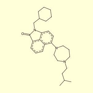 CC(C)CCN1CCCN(c2ccc3c4c(cccc24)C(=O)N3CC2CCCCC2)CC1